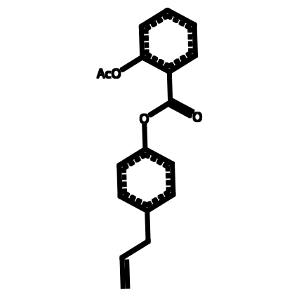 C=CCc1ccc(OC(=O)c2ccccc2OC(C)=O)cc1